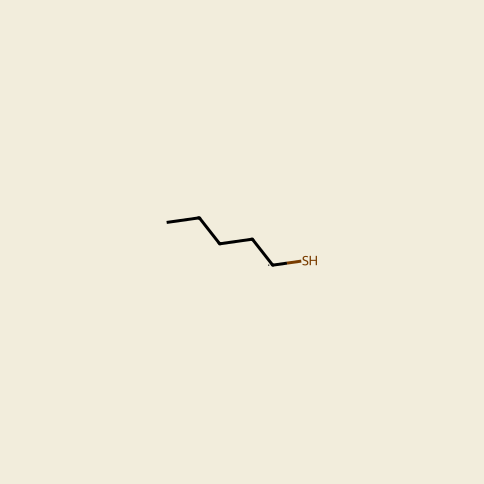 CCCC[CH]S